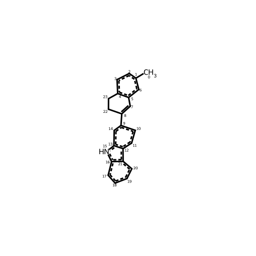 Cc1ccc2c(c1)C=C(c1ccc3c(c1)[nH]c1ccccc13)CC2